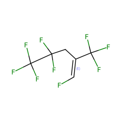 F/C=C(\CC(F)(F)C(F)(F)F)C(F)(F)F